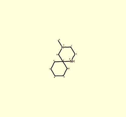 CN1CCNC2(CCCCC2)C1